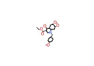 CCOC(=O)c1cn(Cc2ccc(OC)cc2)c2cc3c(cc2c1=O)OCO3